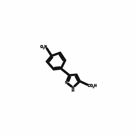 O=C(O)c1cc(-c2ccc([N+](=O)[O-])cc2)n[nH]1